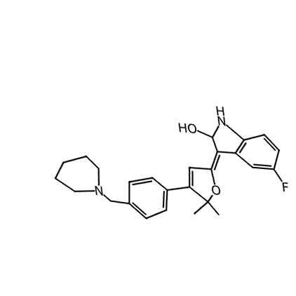 CC1(C)O/C(=C2\c3cc(F)ccc3NC2O)C=C1c1ccc(CN2CCCCC2)cc1